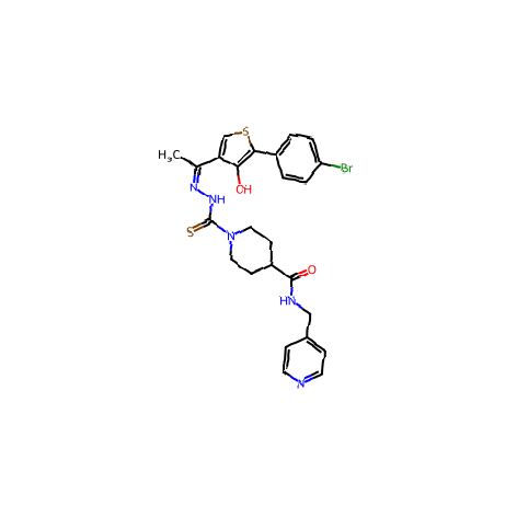 CC(=NNC(=S)N1CCC(C(=O)NCc2ccncc2)CC1)c1csc(-c2ccc(Br)cc2)c1O